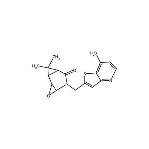 Bc1ccnc2cc(CN3C(=O)C4C(C5OC53)C4(C)C)sc12